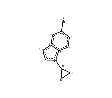 Brc1ccc2c(c1)ncn2C1CC1